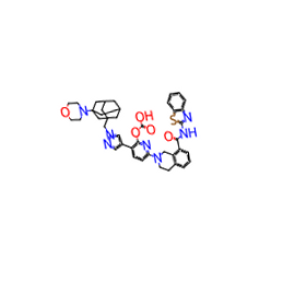 O=C(O)Oc1nc(N2CCc3cccc(C(=O)Nc4nc5ccccc5s4)c3C2)ccc1-c1cnn(CC23CC4CC(C2)CC(N2CCOCC2)(C4)C3)c1